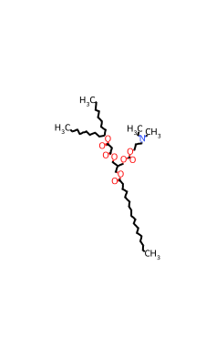 CCCCCCCCCCCCCCCCCC(=O)OCC(COC(=O)CC(=O)OC(CCCCCCCC)CCCCCCCC)COC(=O)OCCCN(CC)CC